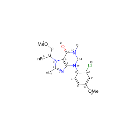 CCCC(COC)n1c(CC)nc2c1C(=O)N(C)CN2c1ccc(OC)cc1Cl